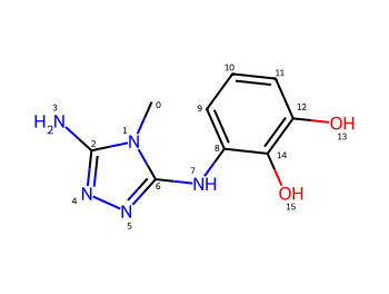 Cn1c(N)nnc1Nc1cccc(O)c1O